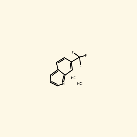 Cl.Cl.FC(F)(F)c1ccc2cccnc2c1